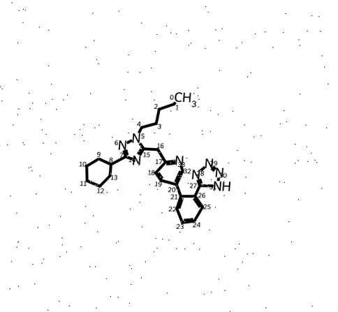 CCCCCn1nc(C2CCCCC2)nc1Cc1ccc(-c2ccccc2-c2nnn[nH]2)cn1